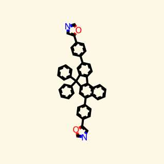 c1ccc(C2(c3ccccc3)c3cc(-c4ccc(-c5cnco5)cc4)ccc3-c3c2cc(-c2ccc(-c4cnco4)cc2)c2ccccc32)cc1